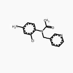 CC(=O)N(Cc1cccnc1)c1ccc(N)cc1Cl